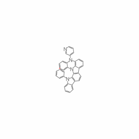 c1ccc(-n2c3ccccc3c3ccc4c5cccc6c5n(c4c32)-c2ccccc2N6c2cccnc2)cc1